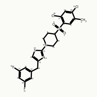 Cc1cc(S(=O)(=O)C2CCN(c3nc(Cc4cc(F)cc(F)c4)cs3)CC2)c(Cl)cc1Cl